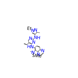 C=Cc1cnc(Nc2cn(CC)nc2C)nc1Nc1ccc2nccnc2c1N(C)SC